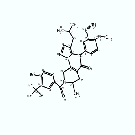 CNc1ccc(-n2c(=O)c3c(n4ncc(CC(C)C)c24)CN(C(=O)c2ccc(Br)c(C(F)(F)F)c2)C(C)C3)cc1N=N